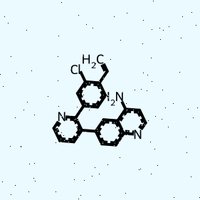 C=Cc1ccc(-c2ncccc2-c2ccc3nccc(N)c3c2)cc1Cl